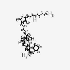 CCCCCNCCSC1CC(=O)N(CCCCCC(=O)NC(C)(C)Cn2c(COCC)nc3c(N)nc4ccccc4c32)C1=O